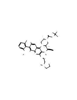 COc1cccc(C)c1-c1c(Cl)cc2c3c4c(nc2c1F)O[C@@H]([C@@H]1CCCN1C)CN4C(=C=O)[C@H]1CN(C(=O)OC(C)(C)C)[C@H](C)CN31